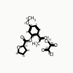 COc1ccc(C(C)=O)c(OC(=O)C2CCCO2)c1.O=C(Cl)C(=O)Cl